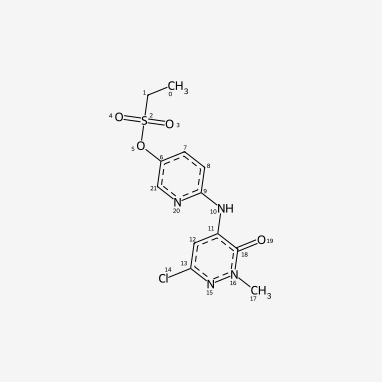 CCS(=O)(=O)Oc1ccc(Nc2cc(Cl)nn(C)c2=O)nc1